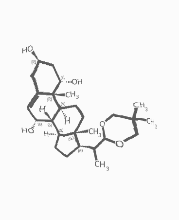 CC(C1OCC(C)(C)CO1)[C@H]1CC[C@H]2[C@@H]3[C@H](O)C=C4C[C@@H](O)C[C@H](O)[C@]4(C)[C@H]3CC[C@]12C